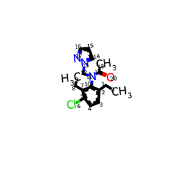 CCc1ccc(Cl)c(CC)c1N(Cn1cccn1)C(C)=O